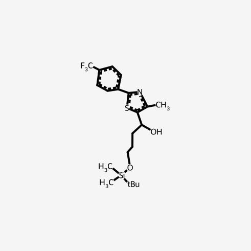 Cc1nc(-c2ccc(C(F)(F)F)cc2)sc1C(O)CCCO[Si](C)(C)C(C)(C)C